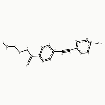 COCCOC(=O)c1ccc(C#Cc2ccc(F)cc2)cc1